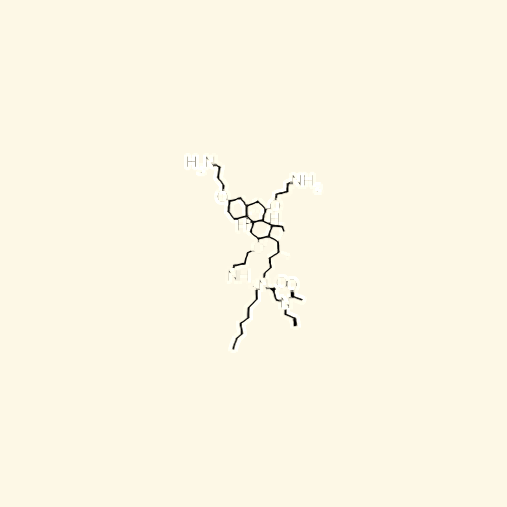 C=CCN(CC(=O)N(CCCCCCCC)CCC[C@@H](C)[C@H]1CC[C@H]2C3[C@H](OCCCN)CC4C[C@H](OCCCN)CC[C@]4(C)[C@H]3C[C@H](OCCCN)[C@]12C)C(C)=O